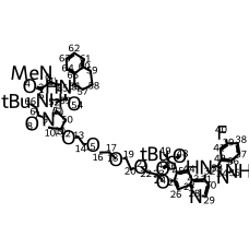 CN[C@@H](C)C(=O)NC(C(=O)N1C[C@@H](OCCOCCOCCOCCOc2cc3nccc(Nc4n[nH]c5ccc(F)cc45)c3cc2S(=O)(=O)C(C)(C)C)C[C@H]1CC(=O)N[C@H]1CCCc2ccccc21)C(C)(C)C